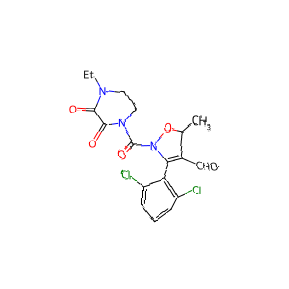 CCN1CCN(C(=O)N2OC(C)C([C]=O)=C2c2c(Cl)cccc2Cl)C(=O)C1=O